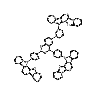 c1cc(-c2ccc3nc(-c4ccc(-n5c6ccccc6c6ccc7c8ccccc8oc7c65)cc4)nc(-c4ccc(-n5c6ccccc6c6ccc7c8ccccc8oc7c65)cc4)c3c2)cc(-n2c3ccccc3c3ccc4c5ccccc5oc4c32)c1